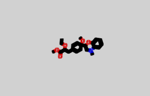 CCOC(CC1=CCC(OC)(C2CN(C)c3ccccc3O2)C=C1)C(=O)OC